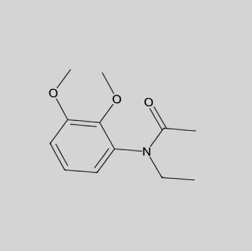 CCN(C(C)=O)c1cccc(OC)c1OC